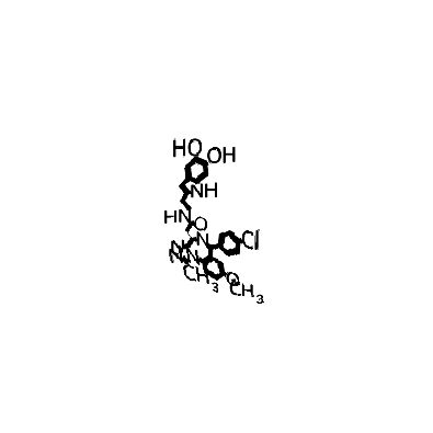 COc1ccc2c(c1)C(c1ccc(Cl)cc1)=N[C@@H](CC(=O)NCCc1cc3cc(O)c(O)cc3[nH]1)c1nnc(C)n1-2